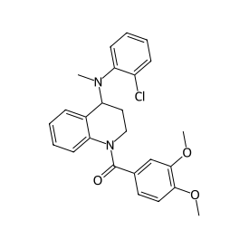 COc1ccc(C(=O)N2CCC(N(C)c3ccccc3Cl)c3ccccc32)cc1OC